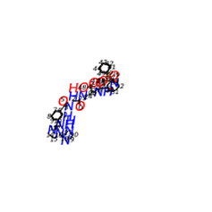 O=C(CNC(=O)c1cccc(NC2=NCCN2C2=NCCN2)c1)NC[C@@H](NC(=O)C1C2CCC(CC2)N1S(=O)(=O)c1ccccc1)C(=O)O